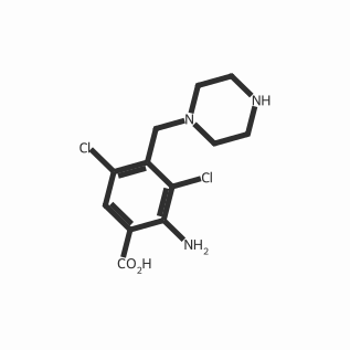 Nc1c(C(=O)O)cc(Cl)c(CN2CCNCC2)c1Cl